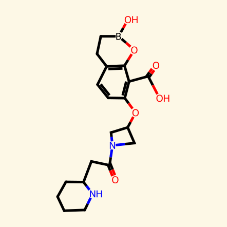 O=C(O)c1c(OC2CN(C(=O)CC3CCCCN3)C2)ccc2c1OB(O)CC2